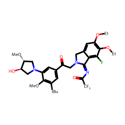 CCOc1cc2c(c(F)c1OCC)/C(=N/C(=O)C(F)(F)F)N(CC(=O)c1cc(N3C[C@@H](O)[C@H](OC)C3)c(OC)c(C(C)(C)C)c1)C2